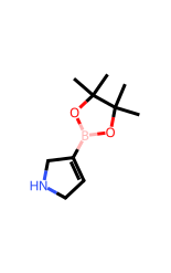 CC1(C)OB(C2=CCNC2)OC1(C)C